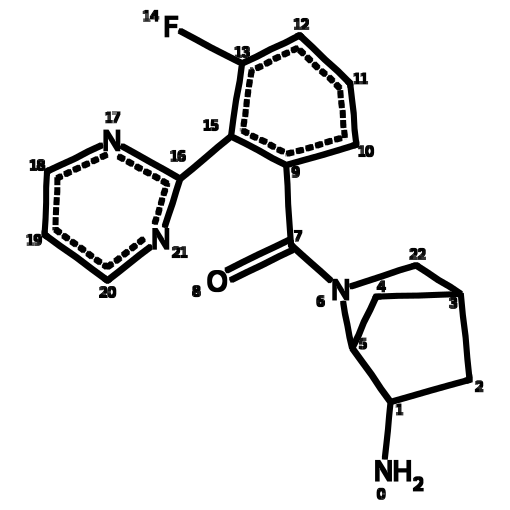 NC1CC2CC1N(C(=O)c1cccc(F)c1-c1ncccn1)C2